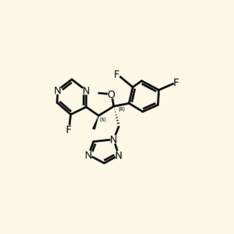 CO[C@@](Cn1cncn1)(c1ccc(F)cc1F)[C@@H](C)c1ncncc1F